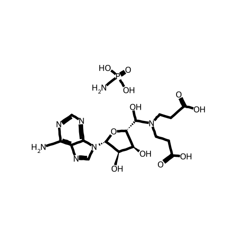 NP(=O)(O)O.Nc1ncnc2c1ncn2[C@@H]1O[C@H](C(O)N(CCC(=O)O)CCC(=O)O)[C@@H](O)[C@H]1O